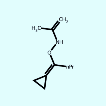 C=C(C)NOC(CCC)=C1CC1